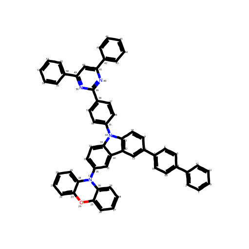 c1ccc(-c2ccc(-c3ccc4c(c3)c3cc(N5c6ccccc6Oc6ccccc65)ccc3n4-c3ccc(-c4nc(-c5ccccc5)cc(-c5ccccc5)n4)cc3)cc2)cc1